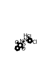 O=C1c2ccccc2C(=O)c2sc(Nc3ccc(Cl)cc3Cl)nc21